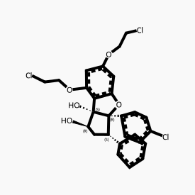 O[C@@H]1C[C@@H](c2ccccc2)[C@]2(c3ccc(Cl)cc3)Oc3cc(OCCCl)cc(OCCCl)c3[C@]12O